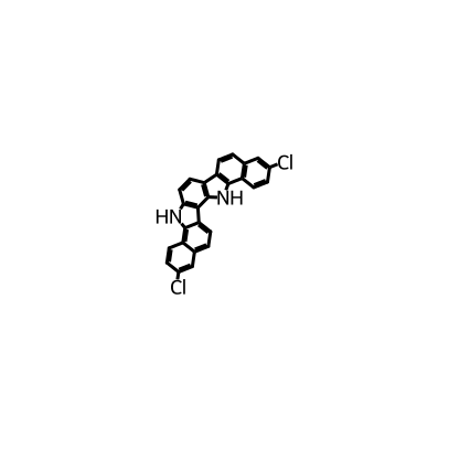 Clc1ccc2c(ccc3c4ccc5[nH]c6c7ccc(Cl)cc7ccc6c5c4[nH]c23)c1